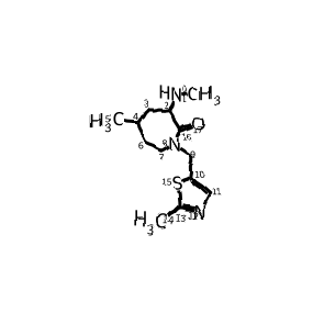 CNC1CC(C)CCN(Cc2cnc(C)s2)C1=O